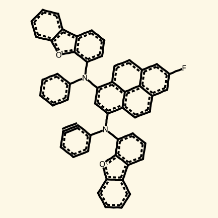 Fc1cc2ccc3c(N(c4c#cccc4)c4cccc5c4oc4ccccc45)cc(N(c4ccccc4)c4cccc5c4oc4ccccc45)c4ccc(c1)c2c34